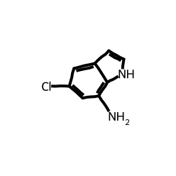 Nc1cc(Cl)cc2cc[nH]c12